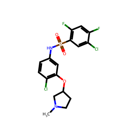 CN1CCC(Oc2cc(NS(=O)(=O)c3cc(Cl)c(F)cc3F)ccc2Cl)C1